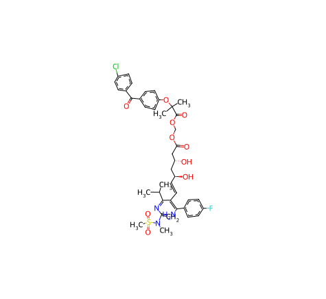 C=C(\N=C(C(/C=C/[C@H](O)C[C@@H](O)CC(=O)OCOC(=O)C(C)(C)Oc1ccc(C(=O)c2ccc(Cl)cc2)cc1)=C(\N)c1ccc(F)cc1)\C(C)C)N(C)S(C)(=O)=O